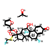 CC(C)=O.C[C@@H]1C[C@H]2[C@@H]3C[C@H](F)C4=CC(=O)C=C[C@]4(C)[C@@]3(F)C(O)C[C@]2(C)[C@@]1(OC(=O)c1ccco1)C(=O)SCF